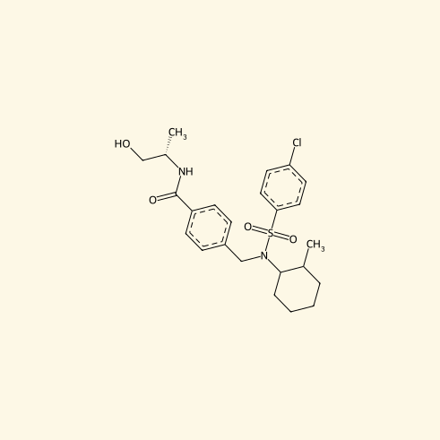 CC1CCCCC1N(Cc1ccc(C(=O)N[C@@H](C)CO)cc1)S(=O)(=O)c1ccc(Cl)cc1